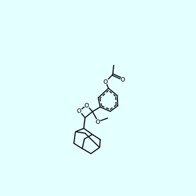 COC1(c2cccc(OC(C)=O)c2)OOC1C1C2CC3CC(C2)CC1C3